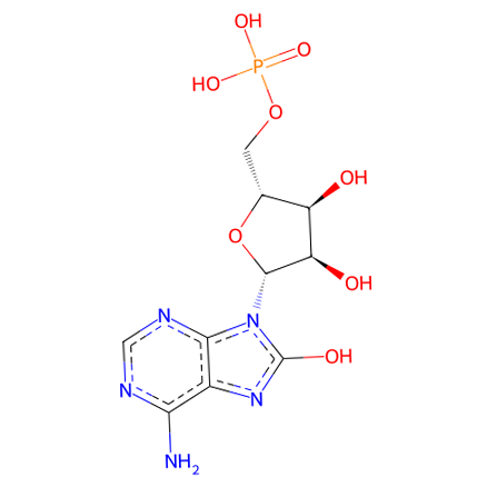 Nc1ncnc2c1nc(O)n2[C@@H]1O[C@H](COP(=O)(O)O)[C@@H](O)[C@H]1O